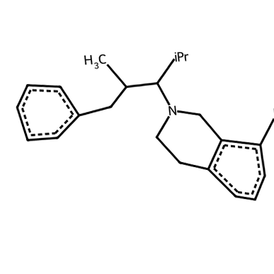 CC(C)C(C(C)Cc1ccccc1)N1CCc2cccc(F)c2C1